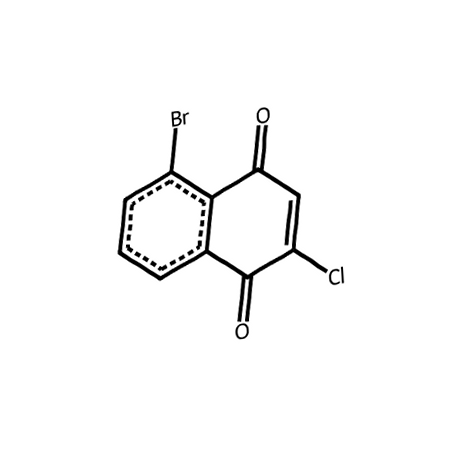 O=C1C(Cl)=CC(=O)c2c(Br)cccc21